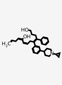 C=CC/C=C(O)\C=C/C/C(=C(\CCCO)c1ccccc1)c1cccc(C2CCN(C3CC3)CC2)c1